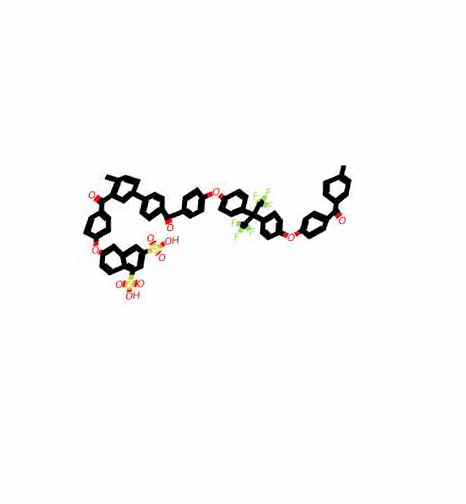 Cc1ccc(C(=O)c2ccc(Oc3ccc(C(c4ccc(Oc5ccc(C(=O)c6ccc(-c7ccc(C)c(C(=O)c8ccc(Oc9ccc%10c(S(=O)(=O)O)cc(S(=O)(=O)O)cc%10c9)cc8)c7)cc6)cc5)cc4)(C(F)(F)F)C(F)(F)F)cc3)cc2)cc1